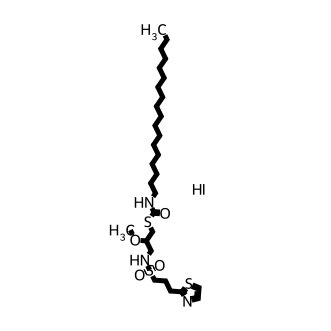 CCCCCCCCCCCCCCCCCCNC(=O)SCC(CNS(=O)(=O)CCCc1nccs1)OC.I